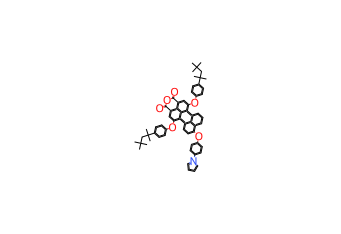 CC(C)(C)CC(C)(C)c1ccc(Oc2cc3c4c(cc(Oc5ccc(C(C)(C)CC(C)(C)C)cc5)c5c6ccc(Oc7ccc(-n8cccc8)cc7)c7cccc(c2c45)c76)C(=O)OC3=O)cc1